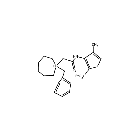 CCOC(=O)c1scc(C)c1NC(=O)C[PH]1(Cc2ccccc2)CCCCCC1